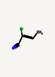 C/C=C(\Br)C#N